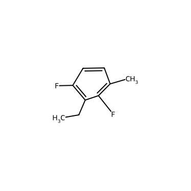 CCc1c(F)ccc(C)c1F